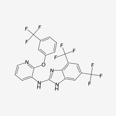 FC(F)(F)c1cccc(Oc2ncccc2Nc2nc3c(C(F)(F)F)cc(C(F)(F)F)cc3[nH]2)c1